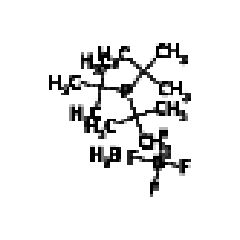 B.CC(C)(C)P(C(C)(C)C)C(C)(C)C.F[B-](F)(F)F